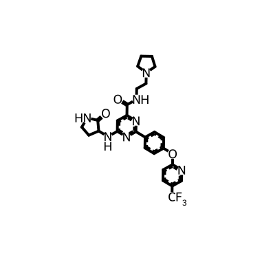 O=C(NCCN1CCCC1)c1cc(NC2CCNC2=O)nc(-c2ccc(Oc3ccc(C(F)(F)F)cn3)cc2)n1